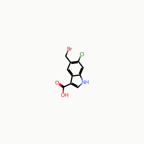 O=C(O)c1c[nH]c2cc(Cl)c(CBr)cc12